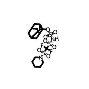 O=S(=O)(NS(=O)(=O)C(F)(F)S(=O)(=O)N1CCCCC1)OC1C2CC3CC(C2)CC1C3